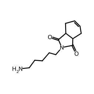 NCCCCCN1C(=O)C2CC=CCC2C1=O